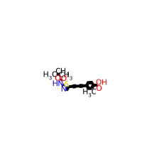 Cc1cc(C#CC#Cc2cnc(NC(=O)OC(C)(C)C)s2)ccc1C(=O)O